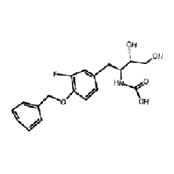 O=C(O)N[C@@H](Cc1ccc(OCc2ccccc2)c(F)c1)[C@H](O)CO